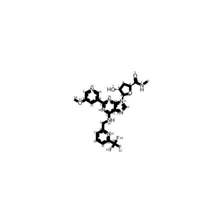 CNC(=O)[C@@H]1C[C@@H](O)[C@H](n2cnc3c(NCc4cccc(C(F)(F)F)n4)nc(-c4cncc(OC)c4)nc32)O1